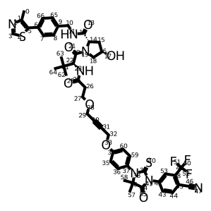 Cc1ncsc1-c1ccc(CNC(=O)[C@@H]2C[C@@H](O)CN2C(=O)[C@@H](NC(=O)CCOCC#CCOc2ccc(N3C(=S)N(c4ccc(C#N)c(C(F)(F)F)c4)C(=O)C3(C)C)cc2)C(C)(C)C)cc1